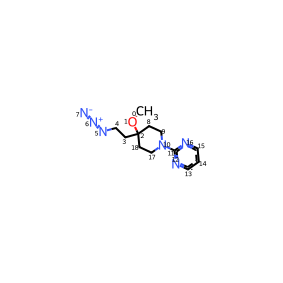 COC1(CCN=[N+]=[N-])CCN(c2n[c]ccn2)CC1